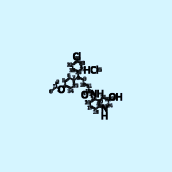 CC(C)Oc1ccc(/C(=C\C=C\C(=O)Nc2cccc3c2CC(O)CN3)c2ccc(Cl)cc2)cc1.Cl